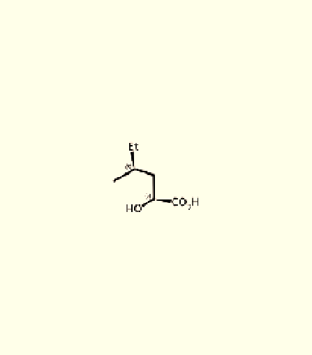 CC[C@H](C)C[C@H](O)C(=O)O